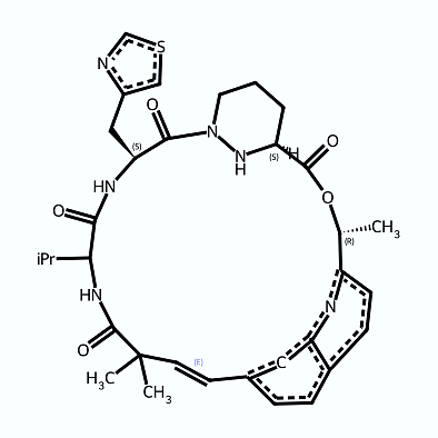 CC(C)C1NC(=O)C(C)(C)/C=C/c2ccc3ccc(nc3c2)[C@@H](C)OC(=O)[C@@H]2CCCN(N2)C(=O)[C@H](Cc2cscn2)NC1=O